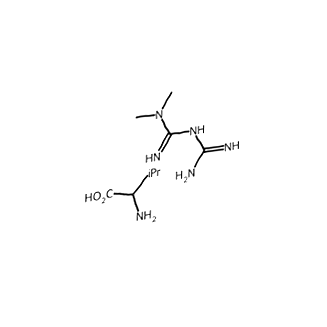 CC(C)C(N)C(=O)O.CN(C)C(=N)NC(=N)N